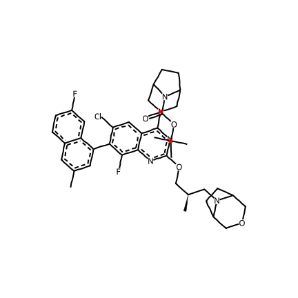 Cc1cc(-c2c(Cl)cc3c(N4CC5CCC(C4)N5C(=O)OC(C)(C)C)nc(OC[C@H](C)CN4C5CCC4COC5)nc3c2F)c2cc(F)ccc2c1